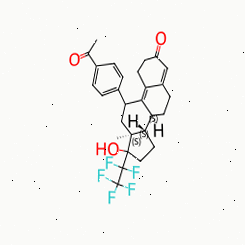 CC(=O)c1ccc(C2C[C@@]3(C)[C@@H](CCC3(O)C(F)(F)C(F)(F)F)[C@@H]3CCC4=CC(=O)CCC4=C23)cc1